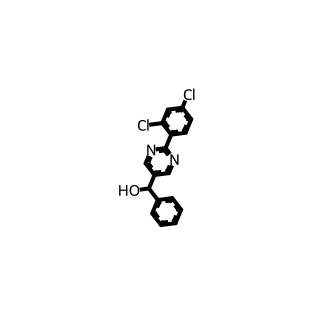 OC(c1ccccc1)c1cnc(-c2ccc(Cl)cc2Cl)nc1